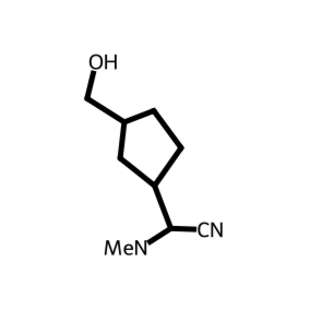 CNC(C#N)C1CCC(CO)C1